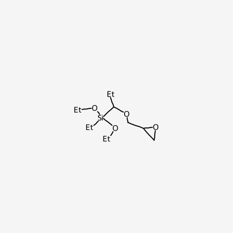 CCO[Si](CC)(OCC)C(CC)OCC1CO1